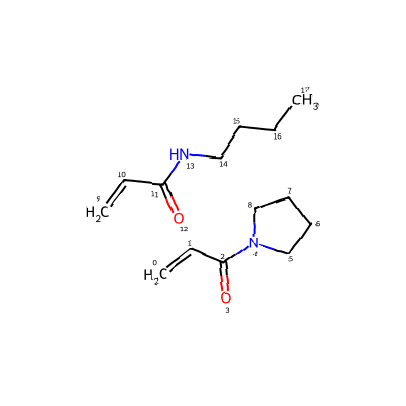 C=CC(=O)N1CCCC1.C=CC(=O)NCCCC